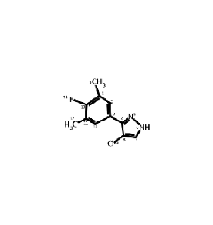 Cc1cc(-c2n[nH]cc2Cl)cc(C)c1F